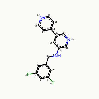 Fc1cc(F)cc(CNc2cncc(-c3ccncc3)c2)c1